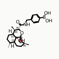 C[C@H]1[C@H](C(=O)NCc2ccc(B(O)O)cc2)O[C@@H]2O[C@@]3(C)CC[C@H]4[C@H](C)CC[C@@H]1[C@@]24OO3